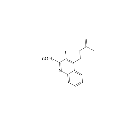 C=C(C)CCc1c(C)c(CCCCCCCC)nc2ccccc12